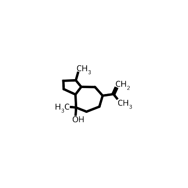 C=C(C)C1CCC(C)(O)C2CCC(C)C2C1